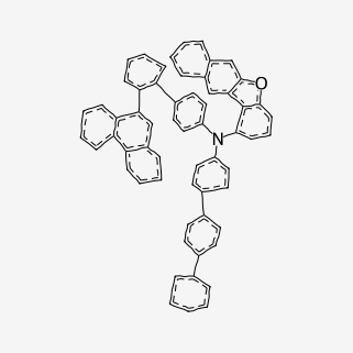 c1ccc(-c2ccc(-c3ccc(N(c4ccc(-c5ccccc5-c5cc6ccccc6c6ccccc56)cc4)c4cccc5oc6cc7ccccc7cc6c45)cc3)cc2)cc1